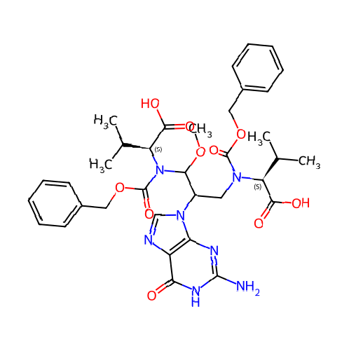 COC(C(CN(C(=O)OCc1ccccc1)[C@H](C(=O)O)C(C)C)n1cnc2c(=O)[nH]c(N)nc21)N(C(=O)OCc1ccccc1)[C@H](C(=O)O)C(C)C